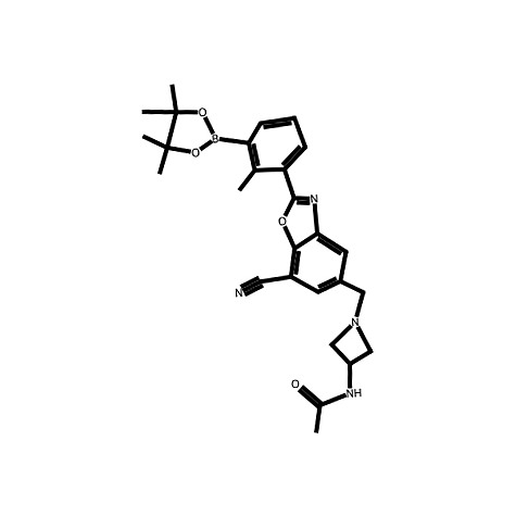 CC(=O)NC1CN(Cc2cc(C#N)c3oc(-c4cccc(B5OC(C)(C)C(C)(C)O5)c4C)nc3c2)C1